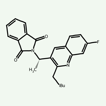 CCC(C)Cc1nc2cc(F)ccc2cc1[C@H](C)N1C(=O)c2ccccc2C1=O